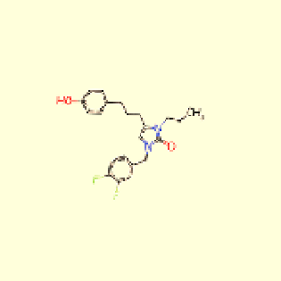 CCCn1c(CCCc2ccc(O)cc2)cn(Cc2ccc(F)c(F)c2)c1=O